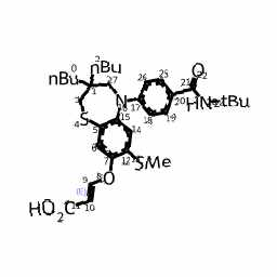 CCCCC1(CCCC)CSc2cc(O/C=C/C(=O)O)c(SC)cc2N(c2ccc(C(=O)NC(C)(C)C)cc2)C1